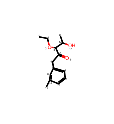 CCOC(C(=O)Cc1cccc(C)c1)C(C)O